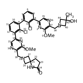 COc1nc(-c2cccc(-c3cccc(-c4cnc(CN5CC6(CCC(=O)N6)C5)c(OC)n4)c3Cl)c2Cl)cnc1CN1CC(C)(O)C1